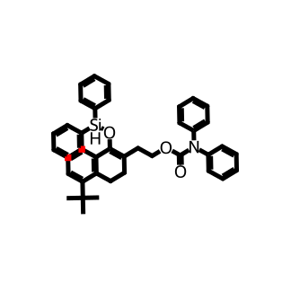 CC(C)(C)c1cccc2c1CCC(CCOC(=O)N(c1ccccc1)c1ccccc1)=C2O[SiH](c1ccccc1)c1ccccc1